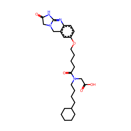 O=C(O)CN(CCCCC1CCCCC1)C(=O)CCCCOc1ccc2c(c1)CN1CC(=O)NC1=N2